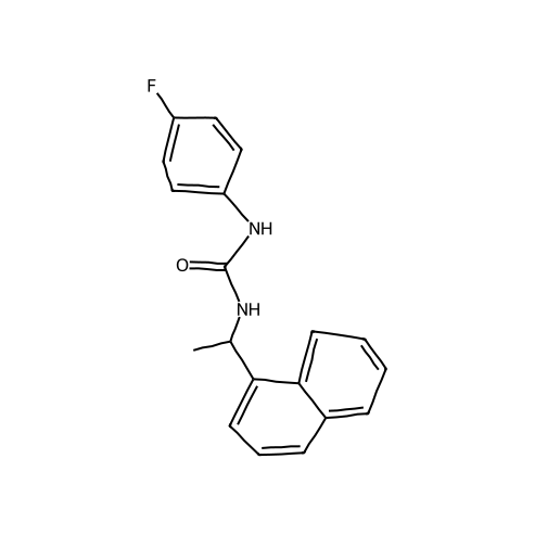 CC(NC(=O)Nc1ccc(F)cc1)c1cccc2ccccc12